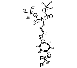 CC(C)(C)OC(=O)N(C/C=C/Sc1ccc(OC(F)(F)F)cc1)C(=O)OC(C)(C)C